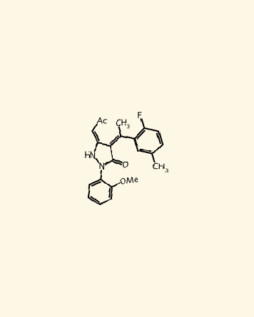 COc1ccccc1-n1[nH]c(=C/C(C)=O)/c(=C(\C)c2cc(C)ccc2F)c1=O